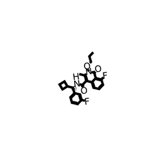 CCCOn1c(C)c(C(=O)N[C@H](c2cccc(F)c2)C2CCC2)c2cccc(F)c2c1=O